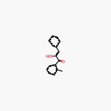 Cc1ccccc1C(=O)C(O)=Cc1ccccc1